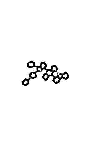 c1ccc(-c2ccc(-c3oc4c(-c5c6ccccc6c(-c6cccc7c6oc6ccccc67)c6ccccc56)cccc4c3-c3ccccc3)cc2)cc1